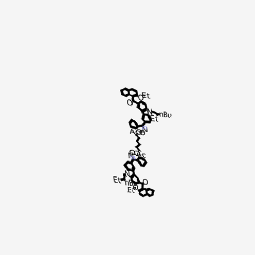 CCCCC(CC)Cn1c2ccc(C(=O)c3c(OCC)ccc4ccccc34)cc2c2cc(/C(=N/OC(C)=O)c3ccccc3OCCCCCCOc3ccccc3/C(=N\OC(C)=O)c3ccc4c(c3)c3cc(C(=O)c5c(OCC)ccc6ccccc56)ccc3n4CC(CC)CCCC)ccc21